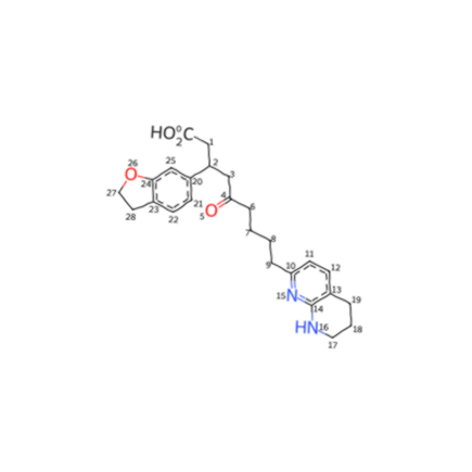 O=C(O)CC(CC(=O)CCCCc1ccc2c(n1)NCCC2)c1ccc2c(c1)OCC2